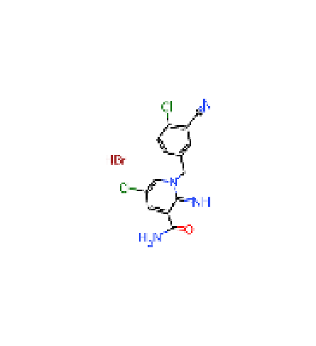 Br.N#Cc1cc(Cn2cc(Cl)cc(C(N)=O)c2=N)ccc1Cl